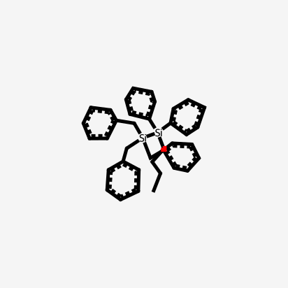 CCCC[Si](c1ccccc1)(c1ccccc1)[Si](Cc1ccccc1)(Cc1ccccc1)Cc1ccccc1